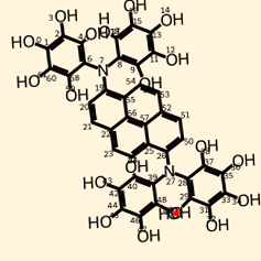 Oc1c(O)c(O)c(N(c2c(O)c(O)c(O)c(O)c2O)c2ccc3ccc4c(N(c5c(O)c(O)c(O)c(O)c5O)c5c(O)c(O)c(O)c(O)c5O)ccc5ccc2c3c54)c(O)c1O